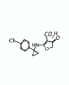 O=C(O)C1=C(NC2(c3ccc(Cl)cc3)CC2)OCC1=O